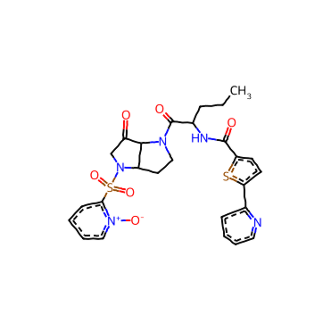 CCCC(NC(=O)c1ccc(-c2ccccn2)s1)C(=O)N1CCC2C1C(=O)CN2S(=O)(=O)c1cccc[n+]1[O-]